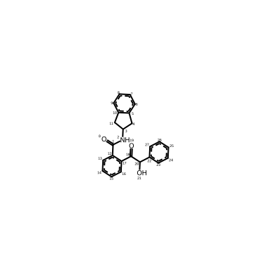 O=C(NC1Cc2ccccc2C1)c1ccccc1C(=O)C(O)c1ccccc1